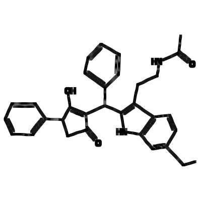 CCc1ccc2c(CCNC(C)=O)c(C(C3=C(O)C(c4ccccc4)CC3=O)c3ccccc3)[nH]c2c1